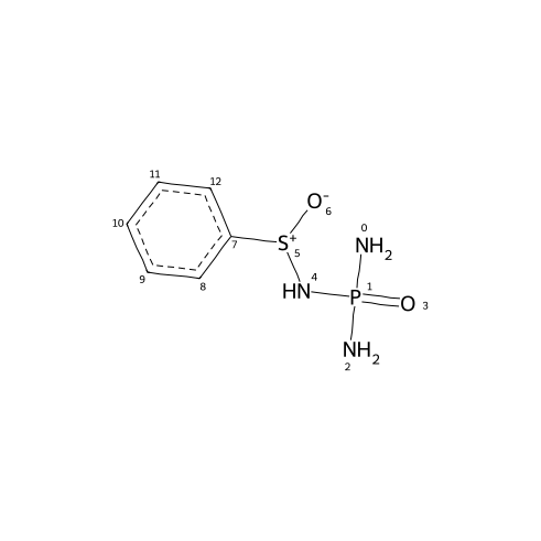 NP(N)(=O)N[S+]([O-])c1ccccc1